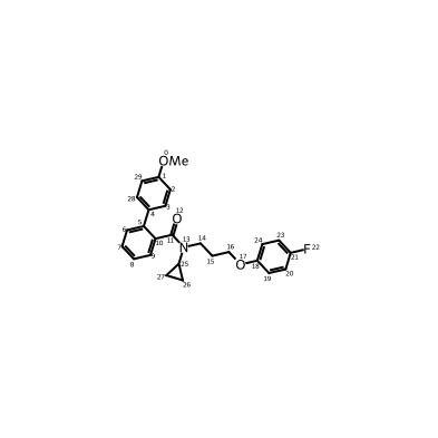 COc1ccc(-c2ccccc2C(=O)N(CCCOc2ccc(F)cc2)C2CC2)cc1